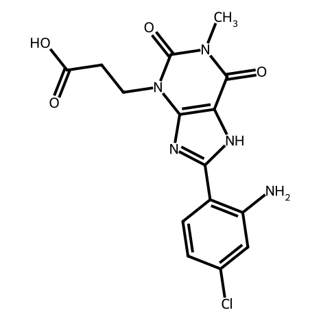 Cn1c(=O)c2[nH]c(-c3ccc(Cl)cc3N)nc2n(CCC(=O)O)c1=O